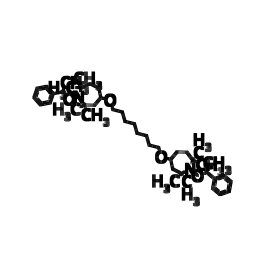 CC(ON1C(C)(C)CCC(OCCCCCCCCOC2CCC(C)(C)N(OC(C)c3ccccc3)C(C)(C)C2)CC1(C)C)c1ccccc1